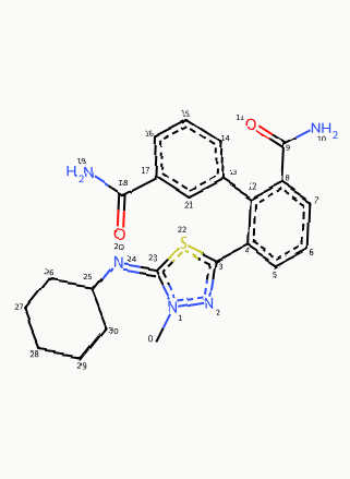 Cn1nc(-c2cccc(C(N)=O)c2-c2cccc(C(N)=O)c2)sc1=NC1CCCCC1